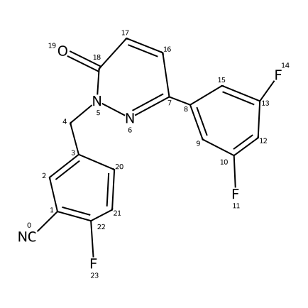 N#Cc1cc(Cn2nc(-c3cc(F)cc(F)c3)ccc2=O)ccc1F